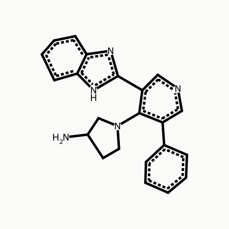 NC1CCN(c2c(-c3ccccc3)cncc2-c2nc3ccccc3[nH]2)C1